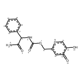 NC(=O)C(NC(=O)OCc1cc(=O)c(O)co1)c1ccccc1